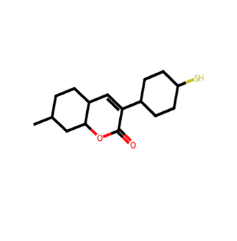 CC1CCC2C=C(C3CCC(S)CC3)C(=O)OC2C1